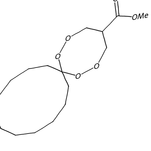 COC(=O)C1COOC2(CCCCCCCCCCC2)OOC1